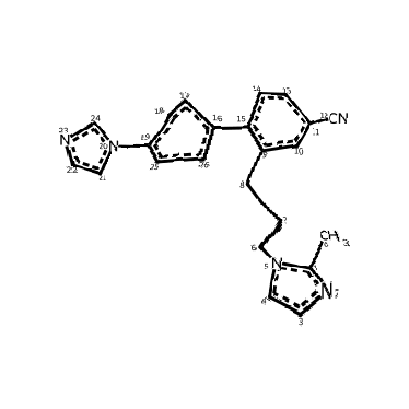 Cc1nccn1CCCc1cc(C#N)ccc1-c1ccc(-n2ccnc2)cc1